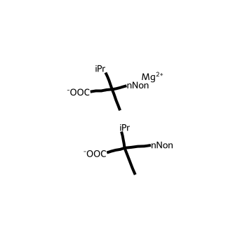 CCCCCCCCCC(C)(C(=O)[O-])C(C)C.CCCCCCCCCC(C)(C(=O)[O-])C(C)C.[Mg+2]